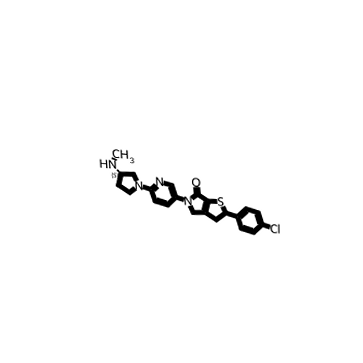 CN[C@H]1CCN(c2ccc(N3CC4=C(SC(c5ccc(Cl)cc5)C4)C3=O)cn2)C1